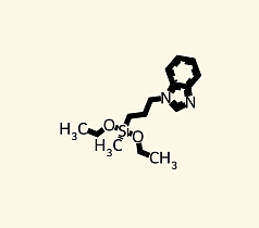 CCO[Si](C)(CCCn1cnc2ccccc21)OCC